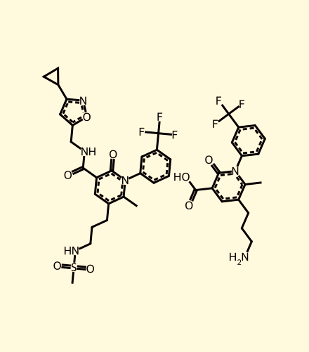 Cc1c(CCCN)cc(C(=O)O)c(=O)n1-c1cccc(C(F)(F)F)c1.Cc1c(CCCNS(C)(=O)=O)cc(C(=O)NCc2cc(C3CC3)no2)c(=O)n1-c1cccc(C(F)(F)F)c1